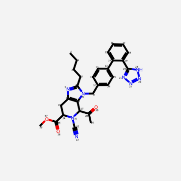 CCCCc1nc2c(n1Cc1ccc(-c3ccccc3-c3nnn[nH]3)cc1)C(C(C)=O)N(C#N)C(C(=O)OC)C2